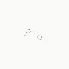 CC/C(=C\c1cc(OC)c2c(c1)OCCO2)C(=O)c1ccc(OC)c(N(C)C)c1